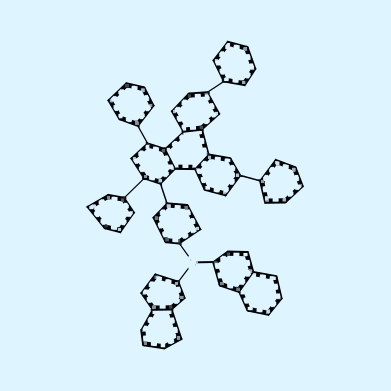 c1ccc(-c2ccc3c(c2)c2cc(-c4ccccc4)ccc2c2c(-c4ccc(N(c5ccc6ccccc6c5)c5ccc6ccccc6c5)cc4)c(-c4ccccc4)cc(-c4ccccc4)c32)cc1